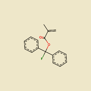 C=C(C)C(=O)OC(F)(c1ccccc1)c1ccccc1